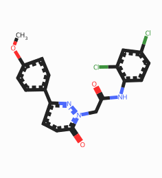 COc1ccc(-c2ccc(=O)n(CC(=O)Nc3ccc(Cl)cc3Cl)n2)cc1